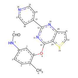 Cc1ccc(NC=O)cc1Oc1nc(-c2ccncc2)nc2ccsc12